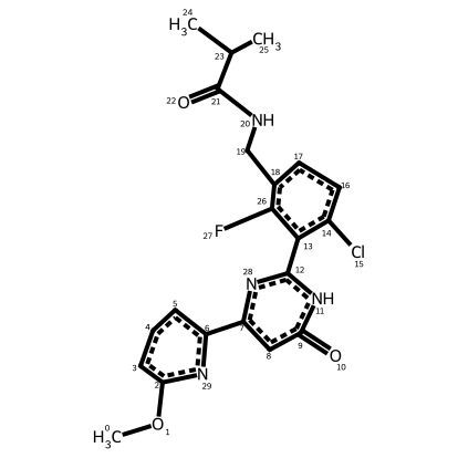 COc1cccc(-c2cc(=O)[nH]c(-c3c(Cl)ccc(CNC(=O)C(C)C)c3F)n2)n1